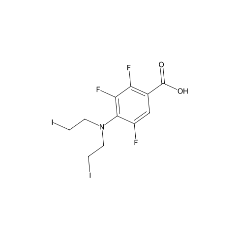 O=C(O)c1cc(F)c(N(CCI)CCI)c(F)c1F